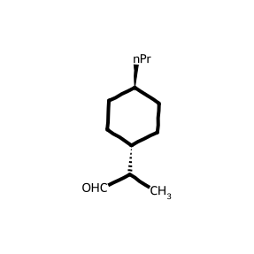 CCC[C@H]1CC[C@H](C(C)C=O)CC1